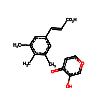 Cc1cc(C=CC(=O)O)cc(C)c1C.O=c1ccocc1O